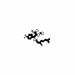 CC(C)=CCCC(C)=CCOc1c(OC=O)c(=O)n(C)c2cc(N(C)C)ccc12